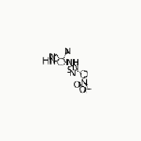 CC1(C)CN(c2cccc(-c3nsc(Nc4ccc5[nH]ncc5c4C#N)n3)c2)C(=O)O1